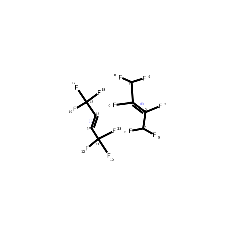 F/C(=C(/F)C(F)F)C(F)F.FC(F)(F)/C=C/C(F)(F)F